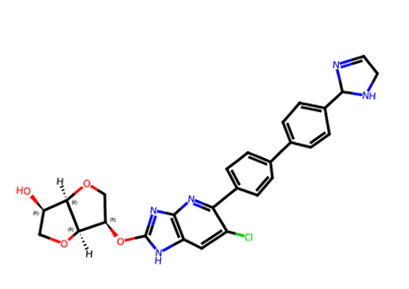 O[C@@H]1CO[C@H]2[C@@H]1OC[C@H]2Oc1nc2nc(-c3ccc(-c4ccc(C5N=CCN5)cc4)cc3)c(Cl)cc2[nH]1